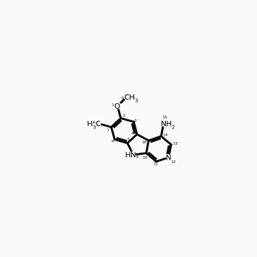 COc1cc2c(cc1C)[nH]c1cncc(N)c12